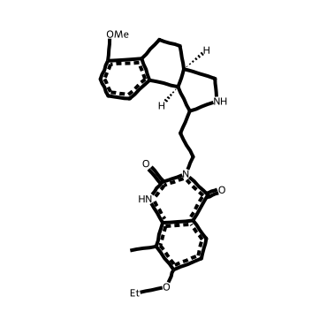 CCOc1ccc2c(=O)n(CCC3NC[C@@H]4CCc5c(OC)cccc5[C@H]34)c(=O)[nH]c2c1C